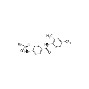 Cc1cc(C(F)(F)F)ccc1NC(=O)c1ccc(NS(=O)(=O)C(C)(C)C)cc1